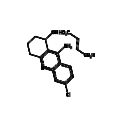 Nc1c2c(nc3cc(Cl)ccc13)CCCC2O.O=C(O)C=CC(=O)O